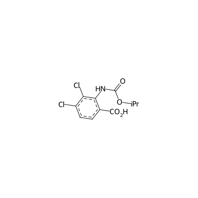 CC(C)OC(=O)Nc1c(C(=O)O)ccc(Cl)c1Cl